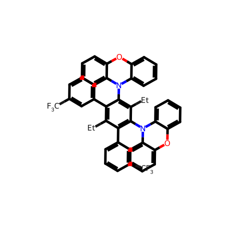 CCc1c(-c2cccc(C(F)(F)F)c2)c(N2c3ccccc3Oc3ccccc32)c(CC)c(N2c3ccccc3Oc3ccccc32)c1-c1cccc(C(F)(F)F)c1